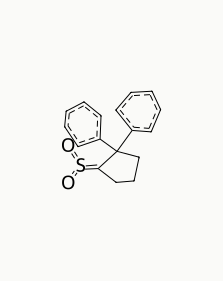 O=S(=O)=C1CCCC1(c1ccccc1)c1ccccc1